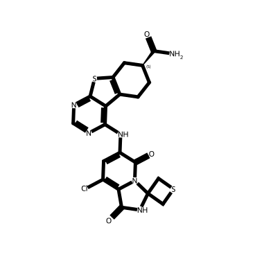 NC(=O)[C@H]1CCc2c(sc3ncnc(Nc4cc(Cl)c5n(c4=O)C4(CSC4)NC5=O)c23)C1